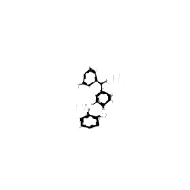 CC(c1cccc(I)c1)c1ccc2c(c1)Nc1ccccc1S2